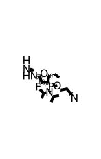 CC[C@H]1O[C@@H](NC=N)[C@H](F)[C@@H]1P(OCCC#N)N(C(C)C)C(C)C